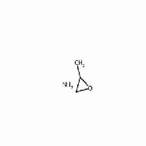 CC1CO1.N